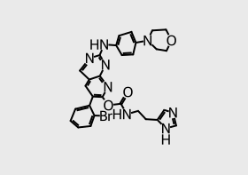 O=C(NCCc1cnc[nH]1)Oc1nc2nc(Nc3ccc(N4CCOCC4)cc3)ncc2cc1-c1ccccc1Br